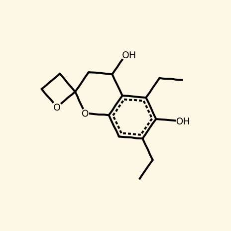 CCc1cc2c(c(CC)c1O)C(O)CC1(CCO1)O2